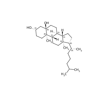 CC(C)CCC[C@@H](C)[C@H]1CC[C@H]2[C@@H]3CC[C@@]4(O)C[C@@H](O)CC[C@]4(C)[C@H]3CC[C@]12C